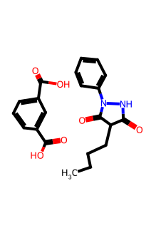 CCCCC1C(=O)NN(c2ccccc2)C1=O.O=C(O)c1cccc(C(=O)O)c1